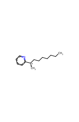 CCCCCCC[C@@H](C)c1ccccn1